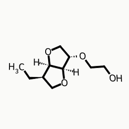 CC[C@@H]1CO[C@H]2[C@@H]1OC[C@@H]2OCCO